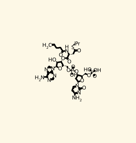 C=CCCC(=O)N[C@H](CC(=O)SC(C)C)C(=O)O[C@H]1[C@@H](O)[C@H](n2cnc3c(N)ncnc32)O[C@H]1COP(=O)(O)O[C@H]1C[C@H](n2ccc(N)nc2=O)O[C@@H]1COP(=O)(O)O